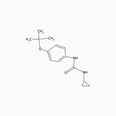 CC(C)(C)Oc1ccc(NC(=O)NC2CC2)cc1